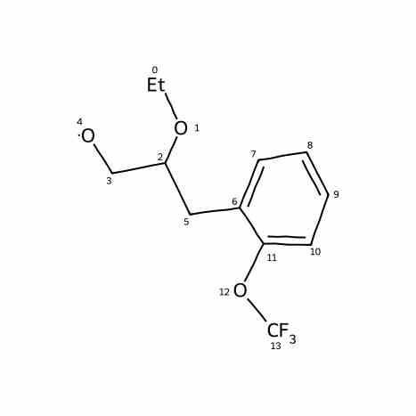 CCOC(C[O])Cc1ccccc1OC(F)(F)F